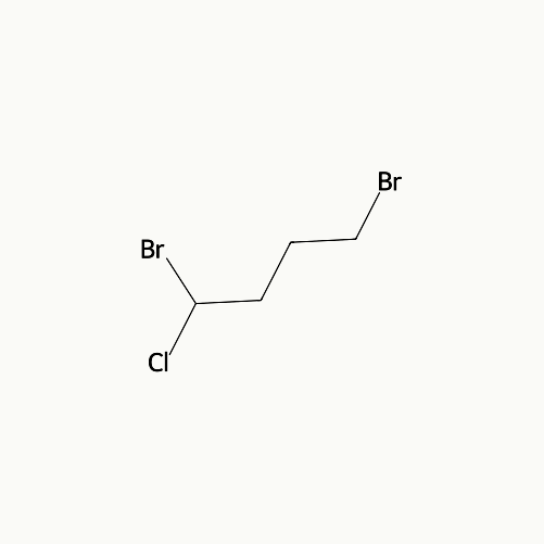 ClC(Br)CCCBr